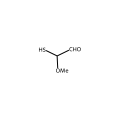 COC(S)C=O